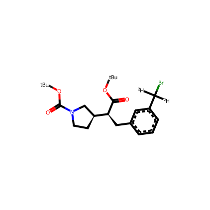 [2H]C([2H])(Br)c1cccc(C[C@H](C(=O)OC(C)(C)C)[C@H]2CCN(C(=O)OC(C)(C)C)C2)c1